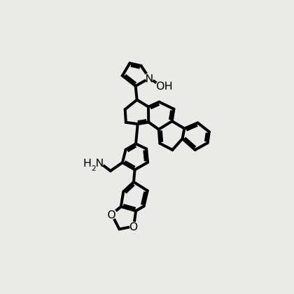 NCc1cc(C2=c3c(ccc4c3=CCc3ccccc3-4)C(c3cccn3O)CC2)ccc1-c1ccc2c(c1)OCO2